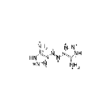 Nc1[nH]nnc1N=Nc1nn[nH]c1N